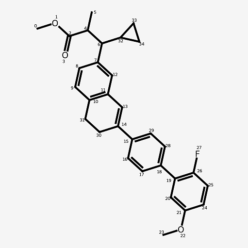 COC(=O)C(C)C(c1ccc2c(c1)C=C(c1ccc(-c3cc(OC)ccc3F)cc1)CC2)C1CC1